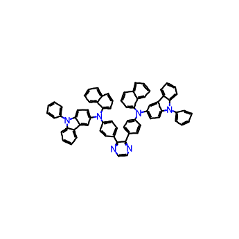 c1ccc(-n2c3ccccc3c3cc(N(c4ccc(-c5nccnc5-c5ccc(N(c6ccc7c(c6)c6ccccc6n7-c6ccccc6)c6cccc7ccccc67)cc5)cc4)c4cccc5ccccc45)ccc32)cc1